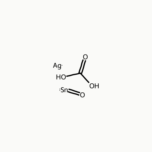 O=C(O)O.[Ag].[O]=[Sn]